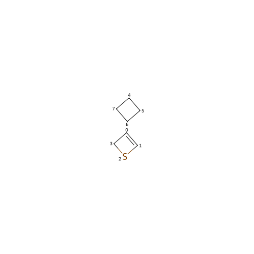 C1=CSC1.C1CCC1